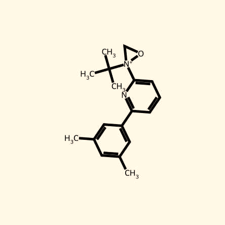 Cc1cc(C)cc(-c2cccc([N+]3(C(C)(C)C)CO3)n2)c1